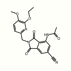 CCOc1nc(CN2C(=O)c3cc(C#N)cc(NC(C)=O)c3C2=O)ccc1OC